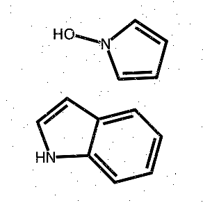 On1cccc1.c1ccc2[nH]ccc2c1